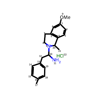 COc1ccc2c(c1)CCN(C(N)Cc1ccc(C)cc1)C2C.Cl